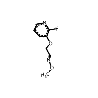 CON=CCOc1cc[c]nc1F